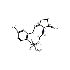 COc1ccc(Cl)cc1C/C=C1/CCC(=O)/C1=C/COC(C)(C)C(=O)O